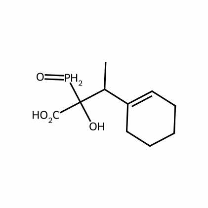 CC(C1=CCCCC1)C(O)([PH2]=O)C(=O)O